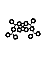 c1ccc(N(c2ccccc2)c2ccc(N(c3ccccc3)c3ccc4c(c3)C3(c5ccccc5-c5ccccc53)c3cc(N(c5ccccc5)c5ccc(N(c6ccccc6)c6ccccc6)cc5)ccc3-4)cc2)cc1